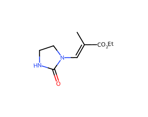 CCOC(=O)C(C)=CN1CCNC1=O